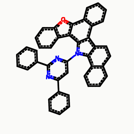 c1ccc(-c2cc(-n3c4c5ccccc5ccc4c4c5ccccc5c5oc6ccccc6c5c43)nc(-c3ccccc3)n2)cc1